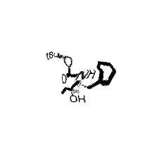 C=C[C@@H](O)[C@@H](Cc1ccccc1)NC(=O)OC(C)(C)C